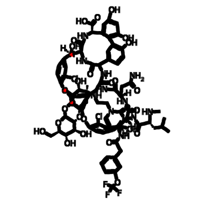 CN[C@H](CC(C)C)C(=O)N[C@H]1C(=O)N[C@@H](CC(N)=O)C(=O)NC2C(=O)N[C@H]3C(=O)N[C@H](C(=O)N[C@@H](C(=O)O)c4cc(O)cc(O)c4-c4cc3ccc4O)[C@H](O)c3ccc(c(Cl)c3)Oc3cc2cc(c3OC2O[C@H](CO)[C@@H](O)[C@H](O)[C@H]2O[C@H]2C[C@](C)(NCCn3ccc(NC(=O)Cc4cccc(OC(F)(F)F)c4)nc3=O)[C@H](O)[C@H](C)O2)Oc2ccc(cc2Cl)[C@H]1O